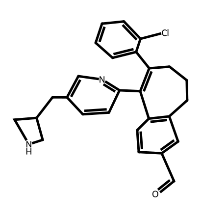 O=Cc1ccc2c(c1)CCCC(c1ccccc1Cl)=C2c1ccc(CC2CNC2)cn1